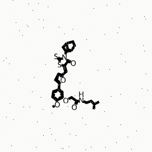 COc1ccc(-c2ccc(/C=C3\SC(=S)N(C4CC5CCC4C5)C3=O)o2)cc1OCC(=O)NCCC(C)C